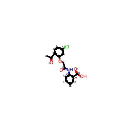 CC(=O)c1ccc(Cl)cc1OCC(=O)Nc1ccccc1C(=O)O